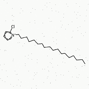 CCCCCCCCCCCCCCCCCC[n+]1ccccc1Cl